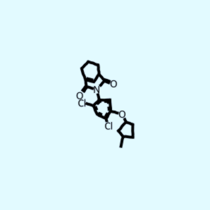 CC1CCC(Oc2cc(N3C(=O)C4=CC(CCC4)C3=O)c(Cl)cc2Cl)C1